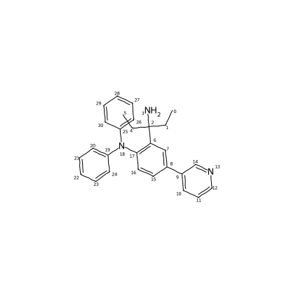 CCC(N)(CC)c1cc(-c2cccnc2)ccc1N(c1ccccc1)c1ccccc1